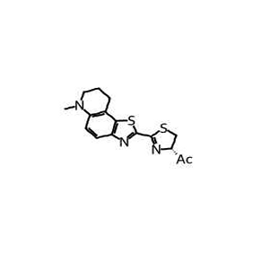 CC(=O)[C@H]1CSC(c2nc3ccc4c(c3s2)CCCN4C)=N1